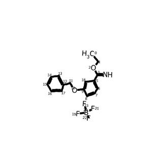 CCOC(=N)c1cccc(OCc2ccccc2)c1.F[B-](F)(F)F